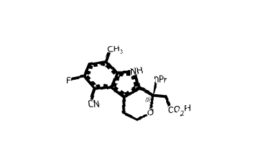 CCC[C@@]1(CC(=O)O)OCCc2c1[nH]c1c(C)cc(F)c(C#N)c21